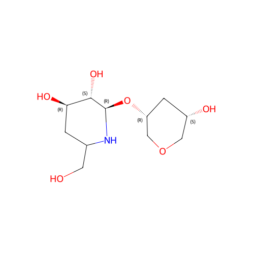 OCC1C[C@@H](O)[C@H](O)[C@@H](O[C@H]2COC[C@@H](O)C2)N1